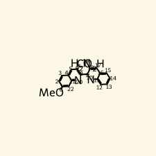 COc1ccc2cc(C(=O)O)c(-c3nc4ccccc4cc3N)nc2c1